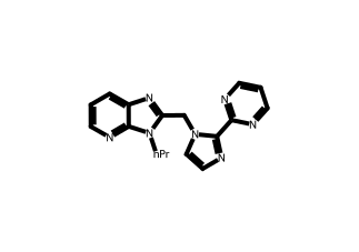 CCCn1c(Cn2ccnc2-c2ncccn2)nc2cccnc21